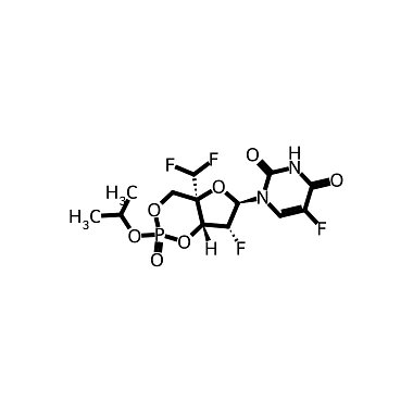 CC(C)OP1(=O)OC[C@@]2(C(F)F)O[C@@H](n3cc(F)c(=O)[nH]c3=O)[C@H](F)[C@@H]2O1